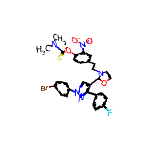 CN(C)C(=S)Oc1ccc(CCN2C=COC2c2cn(-c3ccc(Br)cc3)nc2-c2ccc(F)cc2)cc1[N+](=O)[O-]